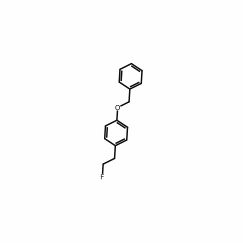 FCCc1ccc(OCc2ccccc2)cc1